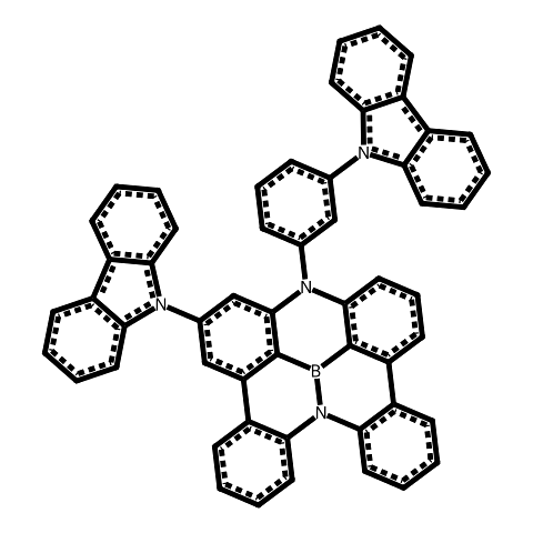 c1cc(N2c3cccc4c3B3c5c(cc(-n6c7ccccc7c7ccccc76)cc52)-c2ccccc2N3c2ccccc2-4)cc(-n2c3ccccc3c3ccccc32)c1